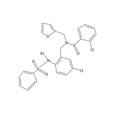 CCN(c1ccc(Cl)cc1CN(Cc1ccco1)C(=O)c1ccccc1Cl)S(=O)(=O)c1ccccc1